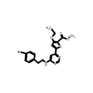 CCOc1cc(-c2cc(NCCc3ccc(Br)cc3)ncn2)sc1C(=O)OC